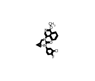 COc1ncc(N(CC2CC2)C(=O)Nc2ccc(F)c(Cl)c2)c2ccccc12